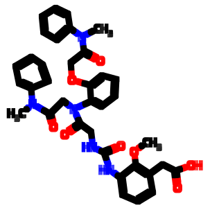 COc1c(CC(=O)O)cccc1NC(=O)NCC(=O)N(CC(=O)N(C)c1ccccc1)c1ccccc1OCC(=O)N(C)c1ccccc1